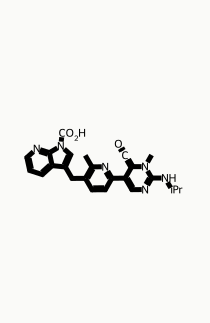 Cc1nc(C2=CN=C(NC(C)C)N(C)C2=C=O)ccc1Cc1cn(C(=O)O)c2ncccc12